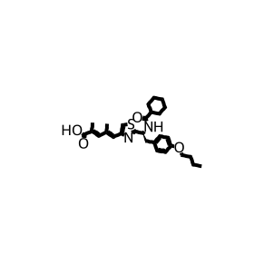 CCCCOc1ccc(C[C@H](NC(=O)C2CCCCC2)c2nc(/C=C(C)/C=C(\C)C(=O)O)cs2)cc1